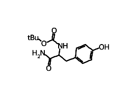 CC(C)(C)OC(=O)NC(Cc1ccc(O)cc1)C(N)=O